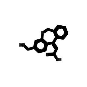 O=C(O)/C=C1/c2ccccc2COc2cc(CO)ccc21